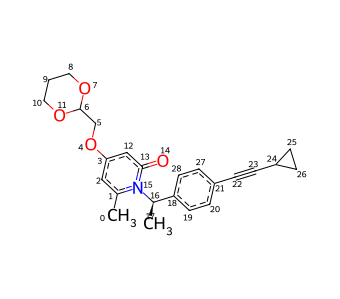 Cc1cc(OCC2OCCCO2)cc(=O)n1[C@H](C)c1ccc(C#CC2CC2)cc1